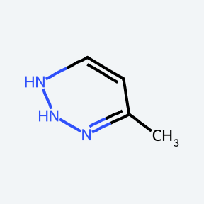 CC1=NNNC=C1